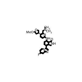 CO[C@H]1C[C@H](c2ccc(Nc3ccc(-c4cnc5cc(F)ccn45)c4c3C(=O)NC4)nc2CN(C)C)CO1